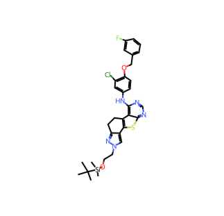 CC(C)(C)[Si](C)(C)OCCn1cc2c(n1)CCc1c-2sc2ncnc(Nc3ccc(OCc4cccc(F)c4)c(Cl)c3)c12